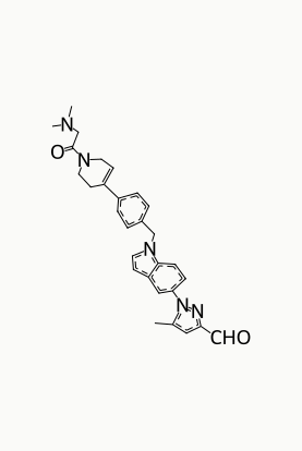 Cc1cc(C=O)nn1-c1ccc2c(ccn2Cc2ccc(C3=CCN(C(=O)CN(C)C)CC3)cc2)c1